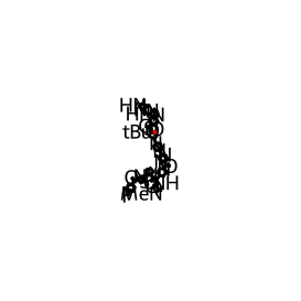 CNC(C)C(=O)N[C@H](C(=O)N1CCCC1c1nc(C(=O)c2ccc(F)cc2)cs1)C1CCN(C(=O)c2cnc(N3CCN(CCCOc4cc5ncnc(Nc6n[nH]c(C)c6C)c5cc4S(=O)(=O)C(C)(C)C)CC3)cn2)CC1